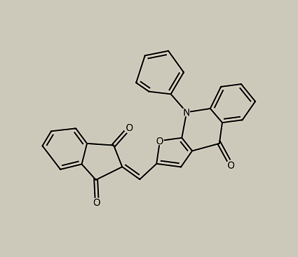 O=C1C(=Cc2cc3c(=O)c4ccccc4n(-c4ccccc4)c3o2)C(=O)c2ccccc21